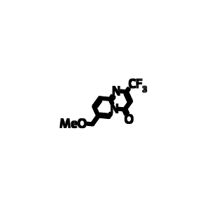 COCc1ccc2nc(C(F)(F)F)cc(=O)n2c1